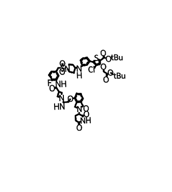 CC(C)(C)OC(=O)COc1c(C(=O)OC(C)(C)C)sc(-c2cccc(NC3CCN(S(=O)(=O)Cc4ccc(F)c(NC(=O)C5CN(C(=N)COc6cccc7c6CN(C6CCC(=O)NC6=O)C7=O)C5)c4)CC3)c2)c1Cl